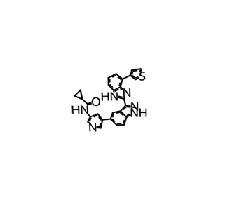 O=C(Nc1cncc(-c2ccc3[nH]nc(-c4nc5c(-c6ccsc6)cccc5[nH]4)c3c2)c1)C1CC1